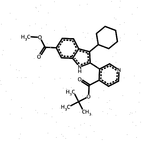 COC(=O)c1ccc2c(C3CCCCC3)c(-c3cnccc3C(=O)OC(C)(C)C)[nH]c2c1